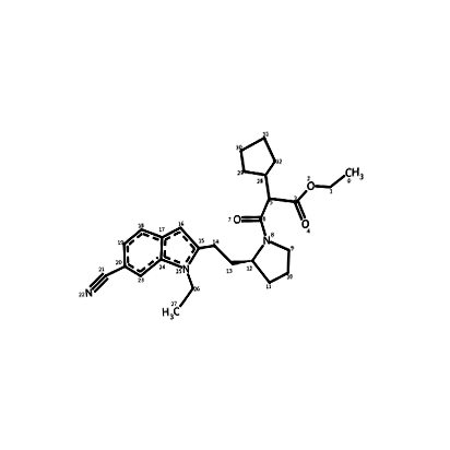 CCOC(=O)C(C(=O)N1CCC[C@H]1CCc1cc2ccc(C#N)cc2n1CC)C1CCCC1